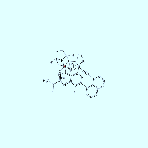 CC(C)[Si](C#Cc1cccc2cccc(-c3nc4c5c(nc([S+](C)[O-])nc5c3F)N3C[C@H]5CC[C@@H]([C@H]3[C@H](C)O4)N5C(=O)OC(C)(C)C)c12)(C(C)C)C(C)C